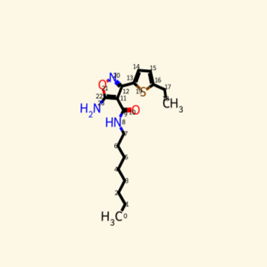 CCCCCCCCNC(=O)c1c(-c2ccc(CC)s2)noc1N